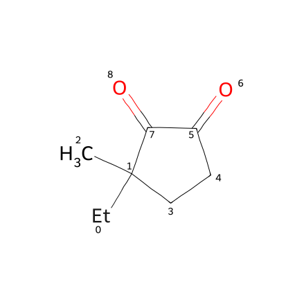 CCC1(C)CCC(=O)C1=O